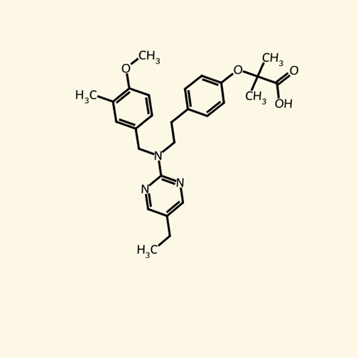 CCc1cnc(N(CCc2ccc(OC(C)(C)C(=O)O)cc2)Cc2ccc(OC)c(C)c2)nc1